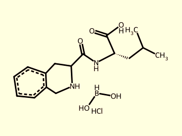 CC(C)C[C@H](NC(=O)C1Cc2ccccc2CN1)C(=O)O.Cl.OBO